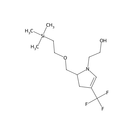 C[Si](C)(C)CCOCC1CC(C(F)(F)F)=CN1CCO